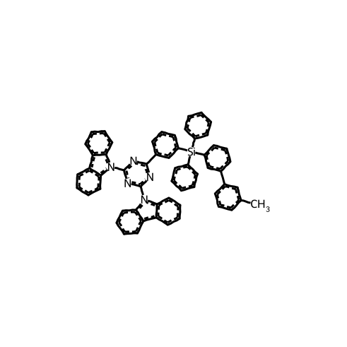 Cc1cccc(-c2cccc([Si](c3ccccc3)(c3ccccc3)c3cccc(-c4nc(-n5c6ccccc6c6ccccc65)nc(-n5c6ccccc6c6ccccc65)n4)c3)c2)c1